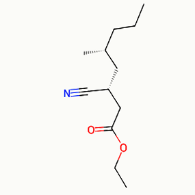 CCC[C@@H](C)C[C@@H](C#N)CC(=O)OCC